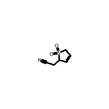 N#CCC1C=CCS1(=O)=O